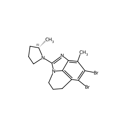 Cc1c(Br)c(Br)c2c3c1nc(N1CCC[C@@H]1C)n3CCC2